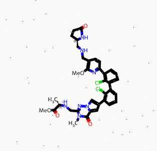 COC(=O)[C@H](C)NCc1nn2cc(-c3cccc(-c4cccc(-c5ccc(CNC[C@H]6CCC(=O)N6)c(OC)n5)c4Cl)c3Cl)cc2c(=O)n1C